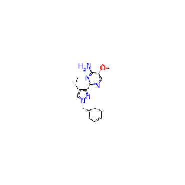 CCc1cn(CC2=CC=C[CH]C2)nc1-c1ncc(OC)c(N)n1